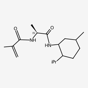 C=C(C)C(=O)N[C@@H](C)C(=O)NC1CC(C)CCC1C(C)C